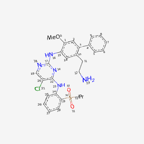 COc1cc(-c2ccccc2)c(CCN)cc1Nc1ncc(Cl)c(Nc2ccccc2S(=O)(=O)C(C)C)n1